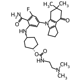 CN(C)CCNC(=O)O[C@H]1CC[C@H](Nc2cc(-n3c4c(c5c3CC(C)(C)CC5=O)CCC4)cc(F)c2C(N)=O)CC1